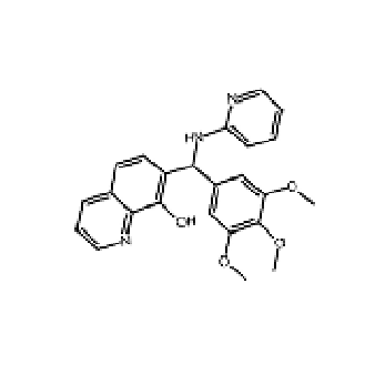 COc1cc(C(Nc2ccccn2)c2ccc3cccnc3c2O)cc(OC)c1OC